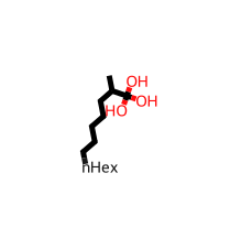 CCCCCCCCCCCC(C)C(O)(O)O